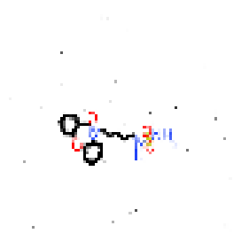 NS(=O)(=O)NCCCCCN1C(=O)c2ccccc2Oc2ccccc21